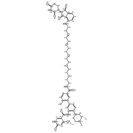 C[C@@H]1CN(c2ccc(-c3cc(C(=O)NCCOCCOCCOCCOCCOCCNc4cccc5c4C(=O)N(C4CCC(=O)NC4=O)C5=O)ccc3F)cc2NC(=O)c2c[nH]c(=O)cc2C(F)(F)F)C[C@H](C)N1C